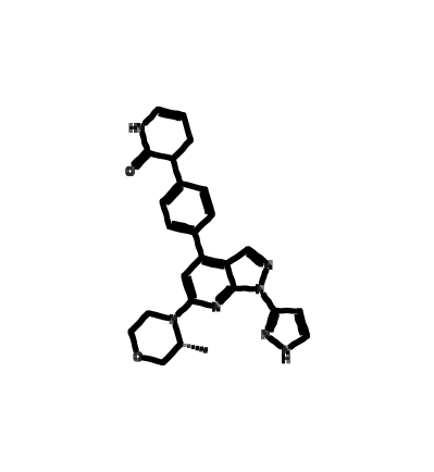 C[C@@H]1COCCN1c1cc(-c2ccc(C3CC=CNC3=O)cc2)c2cnn(-c3cc[nH]n3)c2n1